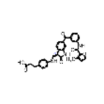 Cc1ccoc1C(=O)Nc1cccc(C(=O)c2ccc3c(c2)NC(=O)/C3=C\Nc2ccc(CCC(=O)O)cc2)c1